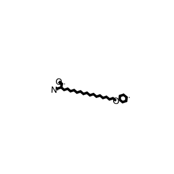 N#CC([C]=O)CCCCCCCCCCCCCCCCOC1CC[CH]CC1